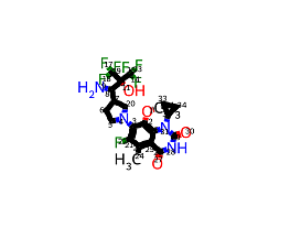 COc1c(N2CCC(C(N)C(O)(C(F)(F)F)C(F)(F)F)C2)c(F)c(C)c2c(=O)[nH]c(=O)n(C3CC3)c12